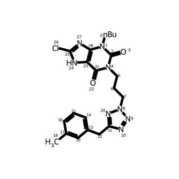 CCCCn1c(=O)n(CCCn2nnc(Cc3cccc(C)c3)n2)c(=O)c2[nH]c(Cl)nc21